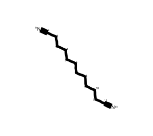 N#CCCCCCCCCCCC#N